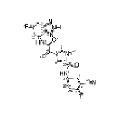 Cn1cc(C(=O)C(=O)NC(CC(F)F)c2cn[nH]n2)cc1C(=O)Nc1ccc(F)c(C#N)c1